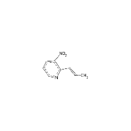 C/C=C/c1ncccc1[N+](=O)[O-]